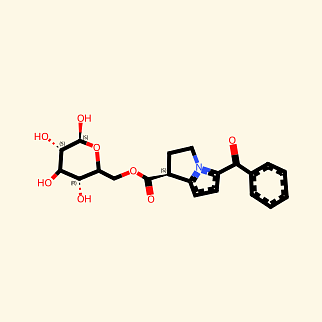 O=C(c1ccccc1)c1ccc2n1CC[C@@H]2C(=O)OCC1O[C@H](O)[C@@H](O)C(O)[C@H]1O